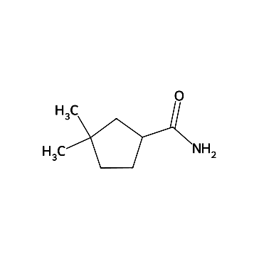 CC1(C)CCC(C(N)=O)C1